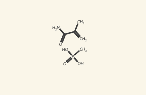 C=C(C)C(N)=O.CP(=O)(O)O